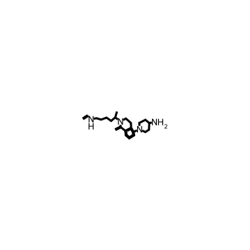 C=CNCCCCC(C)N1CCc2c(cccc2N2CCC(N)CC2)C1=C